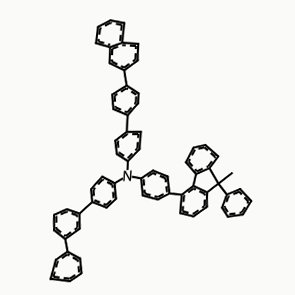 CC1(c2ccccc2)c2ccccc2-c2c(-c3ccc(N(c4ccc(-c5ccc(-c6ccc7ccccc7c6)cc5)cc4)c4ccc(-c5cccc(-c6ccccc6)c5)cc4)cc3)cccc21